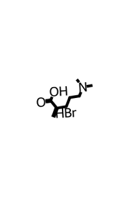 Br.C=C(CCCN(C)C)C(=O)O